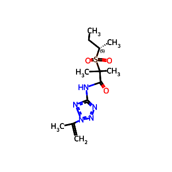 C=C(C)n1nnc(NC(=O)C(C)(C)S(=O)(=O)[C@@H](C)CC)n1